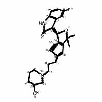 CC1(C)O/C(=C2/C(=O)Nc3ccc(F)cc32)c2ccc(CCCN3CCCC(O)C3)cc21